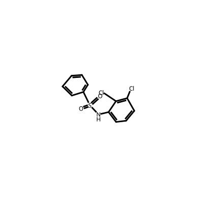 O=S(=O)(Nc1cccc(Cl)c1Cl)c1ccccc1